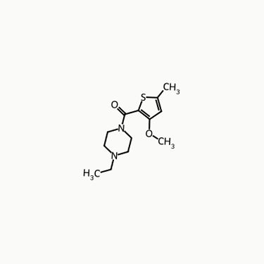 CCN1CCN(C(=O)c2sc(C)cc2OC)CC1